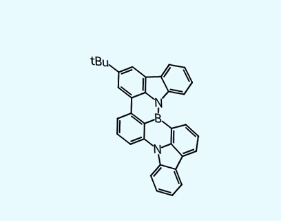 CC(C)(C)c1cc2c3c(c1)c1ccccc1n3B1c3c-2cccc3-n2c3ccccc3c3cccc1c32